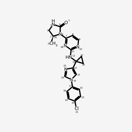 C[C@H]1CNC(=O)N1c1ccnc(NC2(c3cn(-c4ccc(Cl)cc4)cn3)CC2)n1